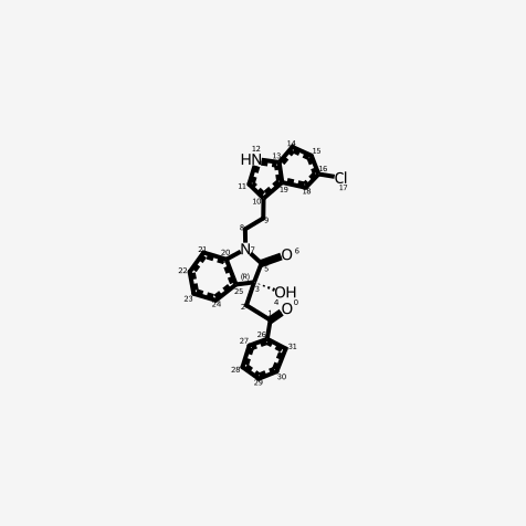 O=C(C[C@]1(O)C(=O)N(CCc2c[nH]c3ccc(Cl)cc23)c2ccccc21)c1ccccc1